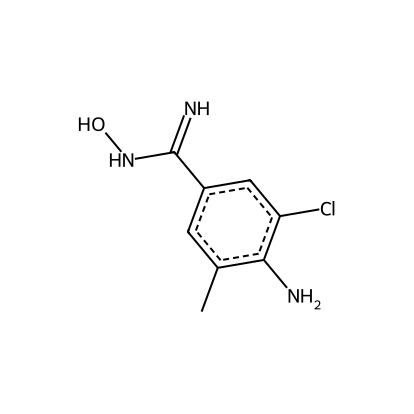 Cc1cc(C(=N)NO)cc(Cl)c1N